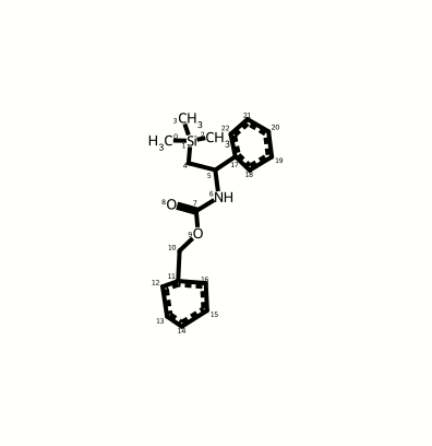 C[Si](C)(C)CC(NC(=O)OCc1ccccc1)c1ccccc1